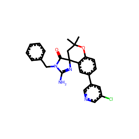 CC1(C)CC2(N=C(N)N(Cc3ccccc3)C2=O)c2cc(-c3cncc(Cl)c3)ccc2O1